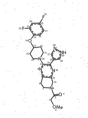 COCC(=O)N1CCc2nc(N3CCC(Oc4ccc(F)cc4F)CC3)c(-c3cn[nH]c3)nc2C1